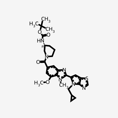 COc1cc(C(=O)N2CCC[C@@H](NC(=O)OC(C)(C)C)C2)cc2nc(-c3cc4scnc4n3CC3CC3)n(C)c12